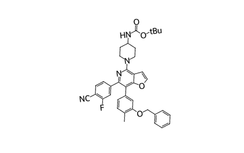 Cc1ccc(-c2c(-c3ccc(C#N)c(F)c3)nc(N3CCC(NC(=O)OC(C)(C)C)CC3)c3ccoc23)cc1OCc1ccccc1